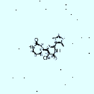 Cc1ncsc1-c1nc(N2CCCNC(=O)C2)c(Cl)c(=O)[nH]1